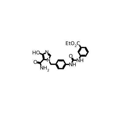 CCOC(=O)c1cccc(NC(=O)Nc2ccc(Cn3cnc(O)c3C(N)=O)cc2)c1